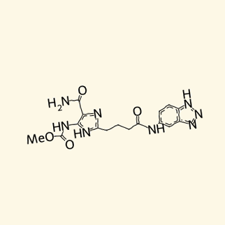 COC(=O)Nc1[nH]c(CCCC(=O)Nc2ccc3[nH]nnc3c2)nc1C(N)=O